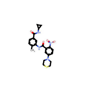 Cc1ccc(C(=O)NC2CC2)cc1NC(=O)c1cc(N2CCSCC2)ccc1[N+](=O)[O-]